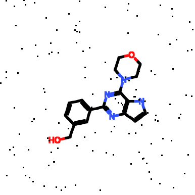 OCc1cccc(-c2nc3c(c(N4CCOCC4)n2)[N]C=C3)c1